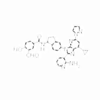 Nc1ncccc1-c1nc2c(C3CC3)cc(-n3cccn3)nc2n1-c1ccc2c(c1)CC[C@@H]2NC(=O)c1ccc(O)c(C=O)c1